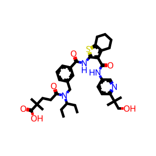 CCC(CC)N(Cc1cccc(C(=O)Nc2sc3c(c2C(=O)Nc2ccc(C(C)(C)CO)nc2)CCCC3)c1)C(=O)CCC(C)(C)C(=O)O